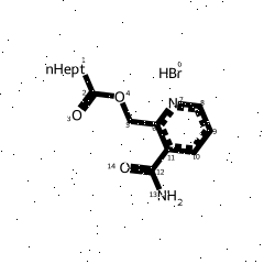 Br.CCCCCCCC(=O)OCc1ncccc1C(N)=O